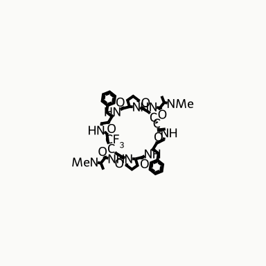 CNC(C)C(=O)NC1CCC2(C(F)(F)F)NCC(O2)C(Cc2ccccc2)NC(=O)C2CCCN2C(=O)C(NC(=O)C(C)NC)CCC2(C)NCC(O2)C(Cc2ccccc2)NC(=O)C2CCCN2C1=O